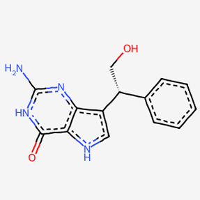 Nc1nc2c([C@H](CO)c3ccccc3)c[nH]c2c(=O)[nH]1